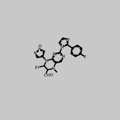 CCC1C(C=O)N(C)c2cnc(-n3ccnc3-c3ccc(F)cc3)nc2N1c1cn[nH]c1